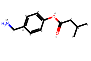 CC(C)CC(=O)Oc1ccc(CN)cc1